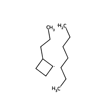 CCCC1[CH]CC1.[CH2]CCCCCC